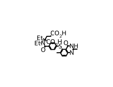 CCN(C(=O)c1ccc(Sc2c(C)ccc3nc(C)[nH]c(=O)c23)cc1)[C@](CC)(CCC(=O)O)C(=O)O